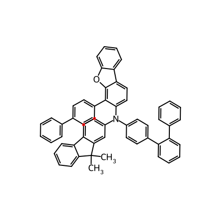 CC1(C)c2ccccc2-c2ccc(N(c3ccc(-c4ccccc4-c4ccccc4)cc3)c3ccc4c(oc5ccccc54)c3-c3ccc(-c4ccccc4)cc3)cc21